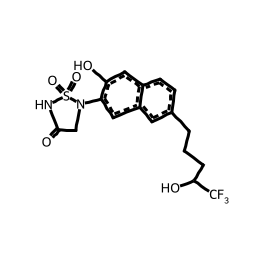 O=C1CN(c2cc3cc(CCCC(O)C(F)(F)F)ccc3cc2O)S(=O)(=O)N1